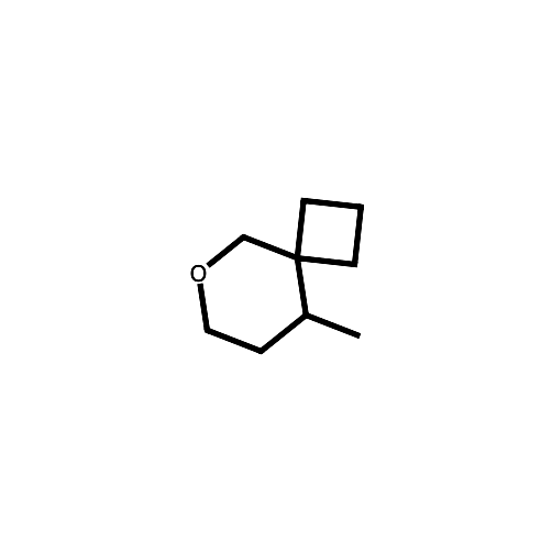 CC1CCOCC12CCC2